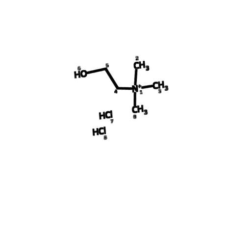 C[N+](C)(C)CCO.Cl.Cl